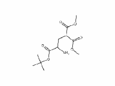 COC(=O)C(CC(N)C(=O)OC(C)(C)C)C(=O)OC